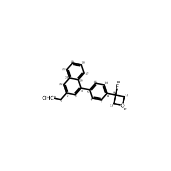 O=CCc1cc(-c2ccc(C3(F)COC3)cc2)c2ccccc2c1